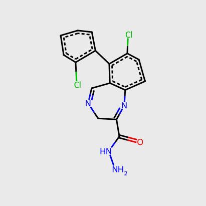 NNC(=O)C1=Nc2ccc(Cl)c(-c3ccccc3Cl)c2C=NC1